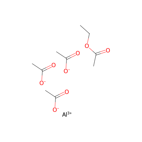 CC(=O)[O-].CC(=O)[O-].CC(=O)[O-].CCOC(C)=O.[Al+3]